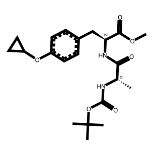 COC(=O)[C@H](Cc1ccc(OC2CC2)cc1)NC(=O)[C@H](C)NC(=O)OC(C)(C)C